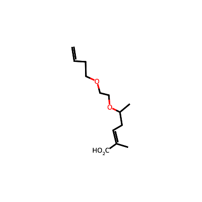 C=CCCOCCOC(C)CC=C(C)C(=O)O